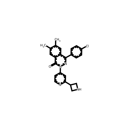 Cc1cc2c(-c3ccc(Cl)cc3)nn(-c3ccnc(C4CNC4)c3)c(=O)c2cc1C